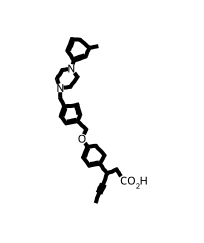 CC#CC(CC(=O)O)C1=CC=C(OCc2ccc(CN3CCN(C4=CC(C)CC=C4)CC3)cc2)CC1